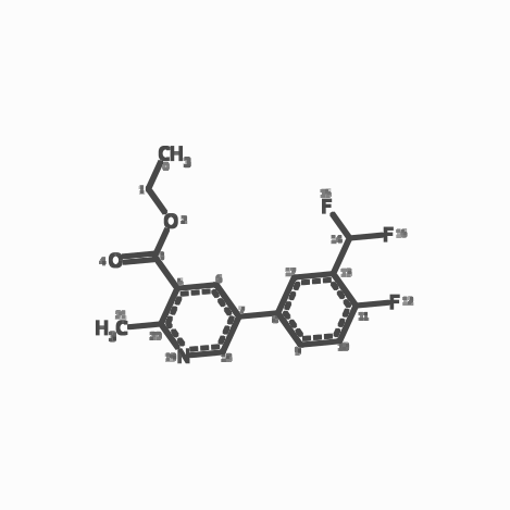 CCOC(=O)c1cc(-c2ccc(F)c(C(F)F)c2)cnc1C